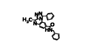 Cc1nc2ccc(C(=O)NCc3ccccc3)cc2n2c(-c3ccccc3)nnc12